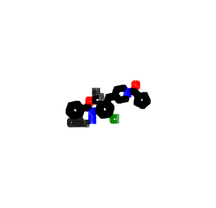 COc1cccc(C(=O)Nc2cc(Cl)cc(C=C3CCN(C(=O)C4CCCC4)CC3)c2C)c1